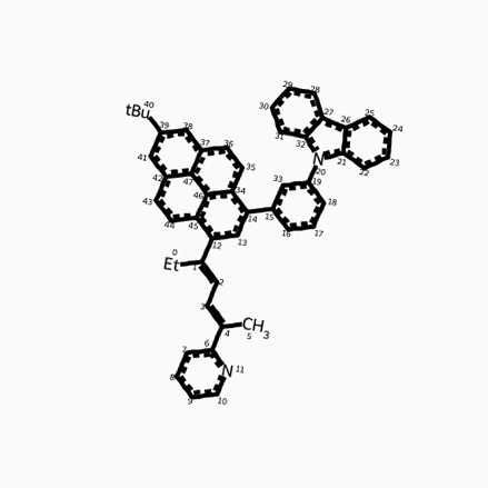 CC/C(=C\C=C(/C)c1ccccn1)c1cc(-c2cccc(-n3c4ccccc4c4ccccc43)c2)c2ccc3cc(C(C)(C)C)cc4ccc1c2c43